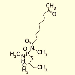 CCC(C)SP(=O)(NC)N(C)C(=O)CCCCCCC(C)=O